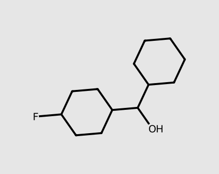 OC(C1CCCCC1)C1CCC(F)CC1